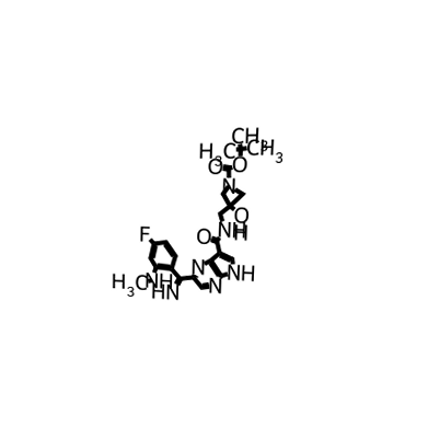 CNc1cc(F)ccc1C(=N)c1cnc2[nH]cc(C(=O)NCC3(O)CN(C(=O)OC(C)(C)C)C3)c2n1